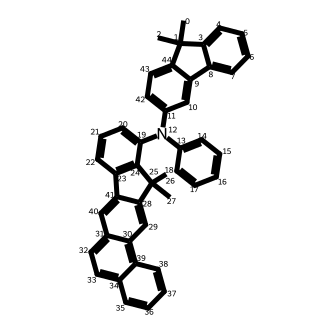 CC1(C)c2ccccc2-c2cc(N(c3ccccc3)c3cccc4c3C(C)(C)c3cc5c(ccc6ccccc65)cc3-4)ccc21